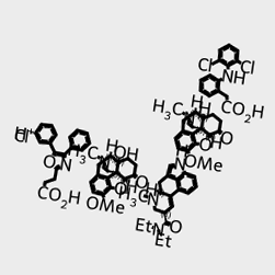 CCN(CC)C(=O)[C@@H]1C=C2c3cccc4[nH]cc(c34)C[C@H]2N(C)C1.COc1ccc2c3c1O[C@H]1C(=O)CC[C@@]4(O)[C@@H](C2)N(C)CC[C@]314.COc1ccc2c3c1O[C@H]1C(=O)CC[C@H]4[C@@H](C2)N(C)CC[C@]314.O=C(O)CCc1nc(-c2ccccc2)c(-c2ccccc2)o1.O=C(O)Cc1ccccc1Nc1c(Cl)cccc1Cl.[Cl-].[H+]